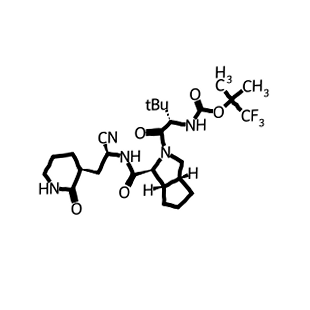 CC(C)(C)[C@H](NC(=O)OC(C)(C)C(F)(F)F)C(=O)N1C[C@@H]2CCC[C@@H]2[C@H]1C(=O)N[C@H](C#N)C[C@@H]1CCCNC1=O